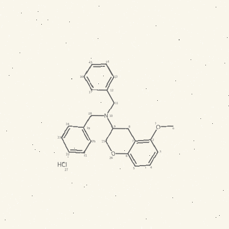 COc1cccc2c1CC(N(Cc1ccccc1)Cc1ccccc1)CO2.Cl